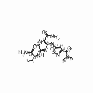 CCC(Nc1cnc(C(N)=O)c(Nc2cc(C(=O)N(C)C)ns2)n1)C(N)=O